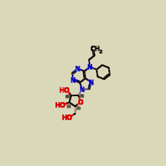 C=CCN(c1ncnc2c1ncn2[C@@H]1O[C@H](CO)[C@@H](O)[C@H]1O)C1CC=CCC1